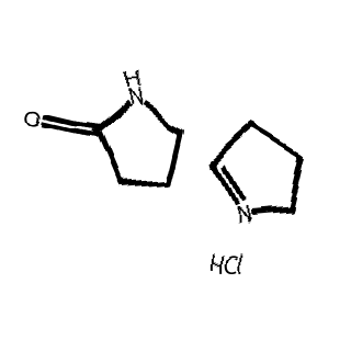 C1=NCCC1.Cl.O=C1CCCN1